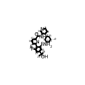 C[C@@H]1C[C@H](N)C[C@H](c2ccncc2NC(=O)c2ccc(F)c(-c3c(F)cc(C(C)(C)O)cc3F)n2)C1